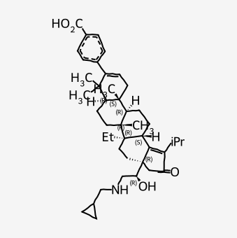 CC[C@@]12CC[C@@]3([C@@H](O)CNCC4CC4)CC(=O)C(C(C)C)=C3[C@H]1CC[C@@H]1[C@@]3(C)CC=C(c4ccc(C(=O)O)cc4)C(C)(C)[C@@H]3CC[C@]12C